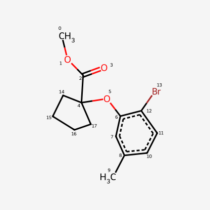 COC(=O)C1(Oc2cc(C)ccc2Br)CCCC1